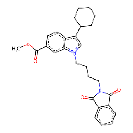 COC(=O)c1ccc2c(C3CCCCC3)cn(CCCCN3C(=O)c4ccccc4C3=O)c2c1